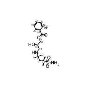 CC(C)(C[N+](C)(C)S(N)(=O)=O)NCC(O)COC(=O)c1ccccc1F